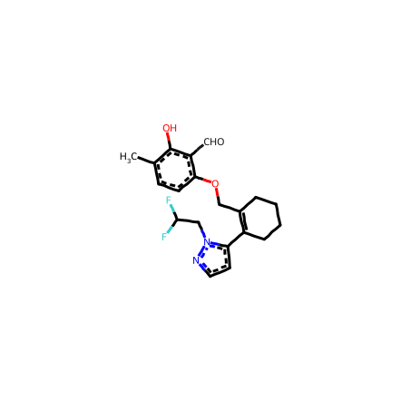 Cc1ccc(OCC2=C(c3ccnn3CC(F)F)CCCC2)c(C=O)c1O